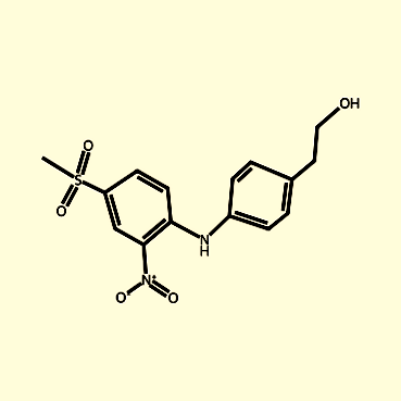 CS(=O)(=O)c1ccc(Nc2ccc(CCO)cc2)c([N+](=O)[O-])c1